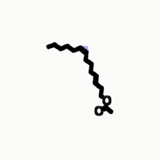 CCCCC/C=C\CCCC=CCCOC(C)=O